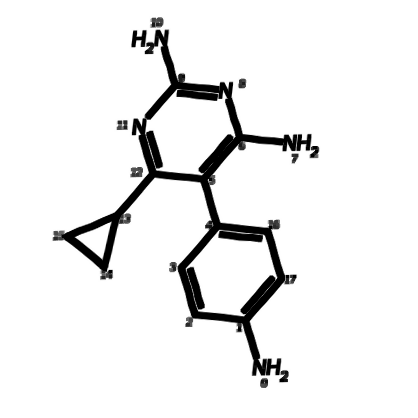 Nc1ccc(-c2c(N)nc(N)nc2C2CC2)cc1